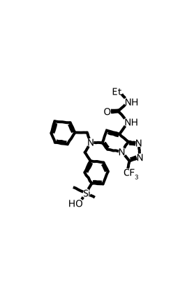 CCNC(=O)Nc1cc(N(Cc2ccccc2)Cc2cccc([Si](C)(C)O)c2)cn2c(C(F)(F)F)nnc12